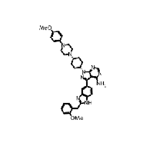 COc1ccc(N2CCN([C@H]3CC[C@@H](n4nc(-c5ccc6[nH]c(Cc7ccccc7OC)nc6c5)c5c(N)ncnc54)CC3)CC2)cc1